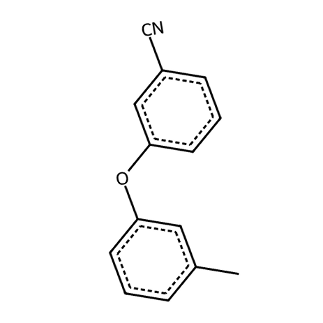 Cc1cccc(Oc2cccc(C#N)c2)c1